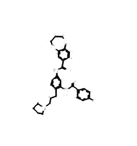 O=C(Nc1ccc(CCCN2CCCC2)c(NC(=O)c2ccc(F)cc2)c1)c1ccc2c(c1)OCCCO2